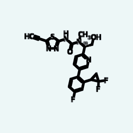 C#Cc1nnc(NC(=O)N(C)[C@@H](CO)c2ccc(-c3ccc(F)cc3C3CC3(F)F)cn2)s1